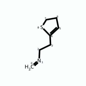 C=NCCC1=CCCS1